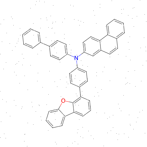 c1ccc(-c2ccc(N(c3ccc(-c4cccc5c4oc4ccccc45)cc3)c3ccc4c(ccc5ccccc54)c3)cc2)cc1